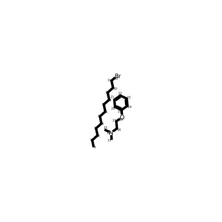 CCCCCCCCCCCCBr.CN(C)CCOc1ccccc1